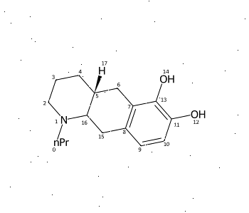 CCCN1CCC[C@@H]2Cc3c(ccc(O)c3O)CC21